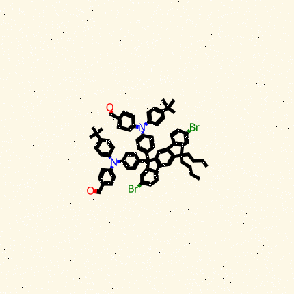 CCCCC1(CCCC)c2cc(Br)ccc2-c2cc3c(cc21)-c1ccc(Br)cc1C3(c1ccc(N(c2ccc(C=O)cc2)c2ccc(C(C)(C)C)cc2)cc1)c1ccc(N(c2ccc(C=O)cc2)c2ccc(C(C)(C)C)cc2)cc1